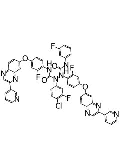 O=C(Nc1ccc(Oc2ccc3ncc(-c4cccnc4)nc3c2)cc1F)N(c1ccc(Cl)c(F)c1)N(C(=O)Nc1cccc(F)c1)c1ccc(Oc2ccc3ncc(-c4cccnc4)nc3c2)cc1F